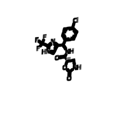 O=C1NC[C@@H](C(=O)NC(c2ccc(Cl)cc2)c2c[nH]c(C(F)(F)F)n2)O1